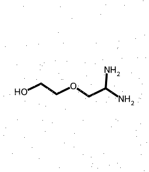 NC(N)COCCO